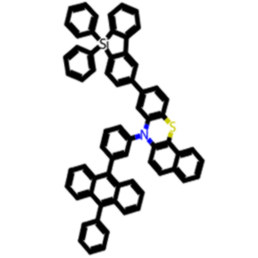 c1ccc(-c2c3ccccc3c(-c3cccc(N4c5cc(-c6ccc7c(c6)-c6ccccc6[Si]7(c6ccccc6)c6ccccc6)ccc5Sc5c4ccc4ccccc54)c3)c3ccccc23)cc1